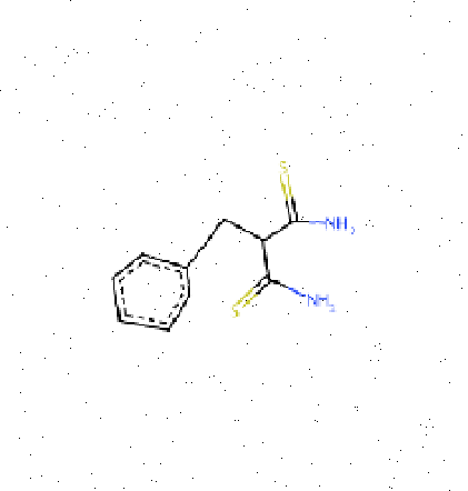 NC(=S)C(Cc1ccccc1)C(N)=S